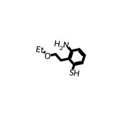 CCOCCc1c(N)cccc1S